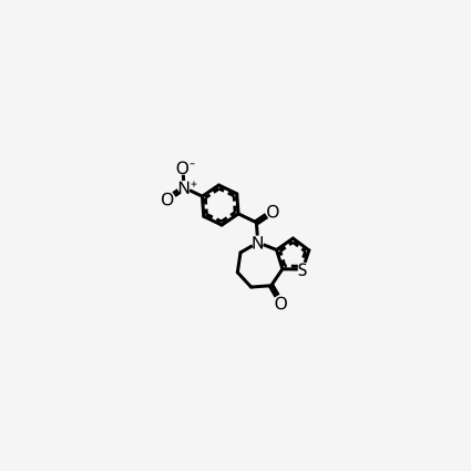 O=C1CCCN(C(=O)c2ccc([N+](=O)[O-])cc2)c2ccsc21